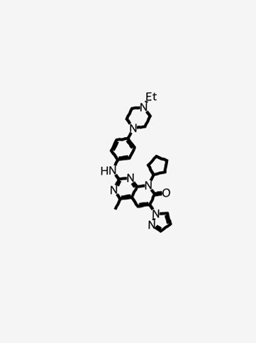 CCN1CCN(c2ccc(Nc3nc(C)c4cc(-n5cccn5)c(=O)n(C5CCCC5)c4n3)cc2)CC1